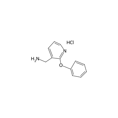 Cl.NCc1cccnc1Oc1ccccc1